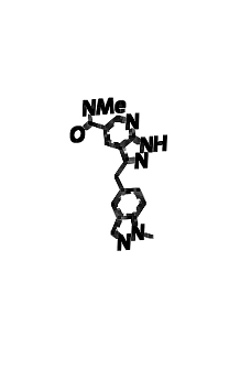 CNC(=O)c1cnc2[nH]nc(Cc3ccc4c(cnn4C)c3)c2c1